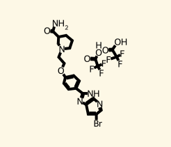 NC(=O)C1CCCN(CCOc2ccc(-c3nc4cc(Br)cnc4[nH]3)cc2)C1.O=C(O)C(F)(F)F.O=C(O)C(F)(F)F